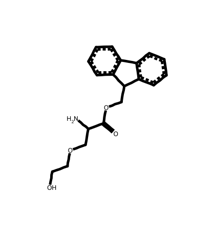 NC(COCCO)C(=O)OCC1c2ccccc2-c2ccccc21